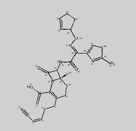 N#C/C=C\SCC1=C(C(=O)O)N2C(=O)C(NC(=O)C(=NOC3C=CCC3)c3csc(N)n3)[C@@H]2SC1